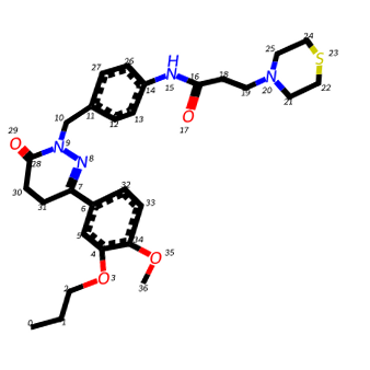 CCCOc1cc(C2=NN(Cc3ccc(NC(=O)CCN4CCSCC4)cc3)C(=O)CC2)ccc1OC